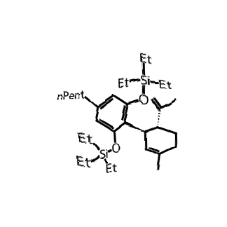 C=C(C)[C@@H]1CCC(C)=C[C@H]1c1c(O[Si](CC)(CC)CC)cc(CCCCC)cc1O[Si](CC)(CC)CC